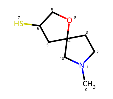 CN1CCC2(CC(S)CO2)C1